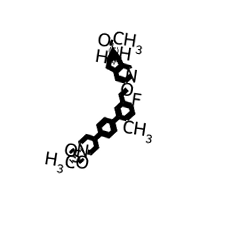 CC(=O)[C@H]1[C@@H]2Cc3cc(OCc4cc(-c5ccc(C6CCN(S(C)(=O)=O)CC6)cc5)c(C)cc4F)ncc3[C@@H]21